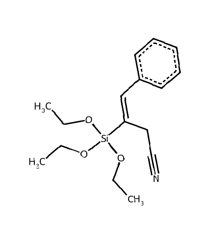 CCO[Si](OCC)(OCC)C(=Cc1ccccc1)CC#N